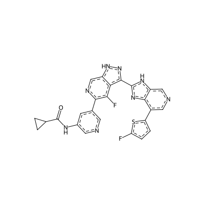 O=C(Nc1cncc(-c2ncc3[nH]nc(-c4nc5c(-c6ccc(F)s6)cncc5[nH]4)c3c2F)c1)C1CC1